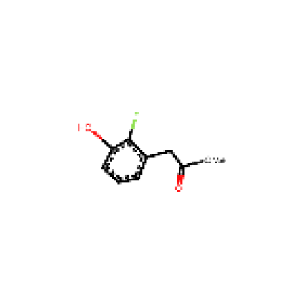 COC(=O)Cc1cccc(O)c1F